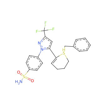 NS(=O)(=O)c1ccc(-n2nc(C(F)(F)F)cc2C2=CCCC[SH]2Cc2ccccc2)cc1